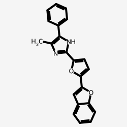 Cc1nc(-c2ccc(-c3cc4ccccc4o3)o2)[nH]c1-c1ccccc1